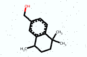 CC1CCC(C)(C)c2ccc(CO)cc21